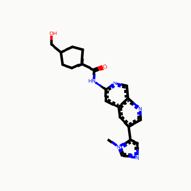 Cn1cncc1-c1cnc2cnc(NC(=O)C3CCC(CO)CC3)cc2c1